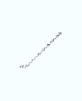 CC/C=C/C/C=C/C/C=C/C/C=C/C/C=C/CCCCCCCC(=O)O